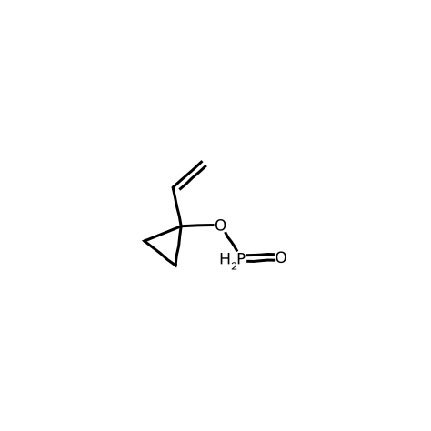 C=CC1(O[PH2]=O)CC1